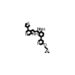 CN(C)CCOc1cncc(-c2ccc3[nH]nc(-c4cc5c(-c6ccsc6)cncc5[nH]4)c3c2)c1